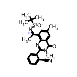 C/C(=N/[S@+]([O-])C(C)(C)C)c1cc(C)cc2c(=O)n(C)c(-c3ccccc3C#N)nc12